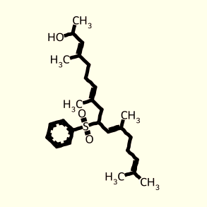 CC(C)=CCC/C(C)=C/C(C/C(C)=C/CC/C(C)=C/C(C)O)S(=O)(=O)c1ccccc1